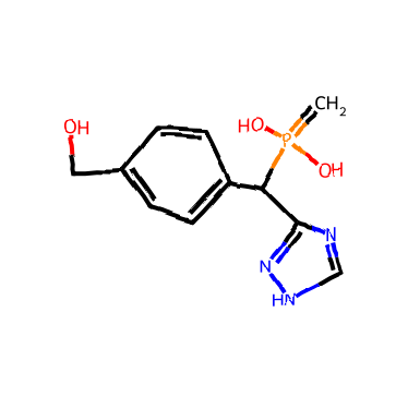 C=P(O)(O)C(c1ccc(CO)cc1)c1nc[nH]n1